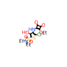 CCOc1c(Nc2c(Cl)sc(S(=O)(=O)N(CC)CC)c2O)c(=O)c1=O